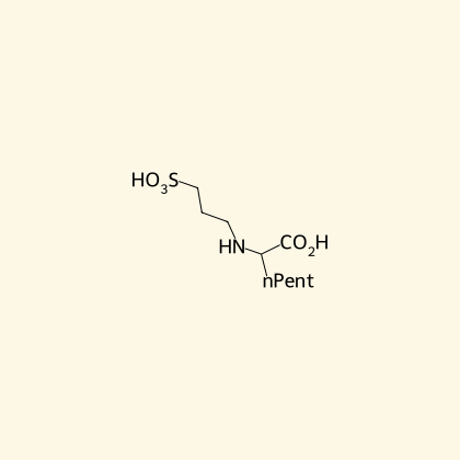 CCCCCC(NCCCS(=O)(=O)O)C(=O)O